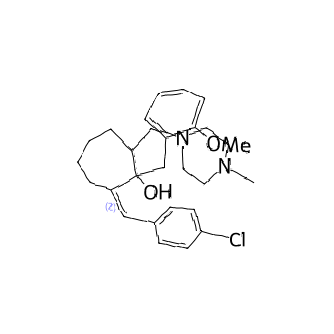 COc1ccccc1CC1(O)/C(=C\c2ccc(Cl)cc2)CCCCC1CN1CCN(C)CC1